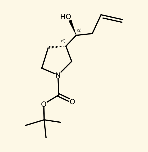 C=CC[C@H](O)[C@H]1CCN(C(=O)OC(C)(C)C)C1